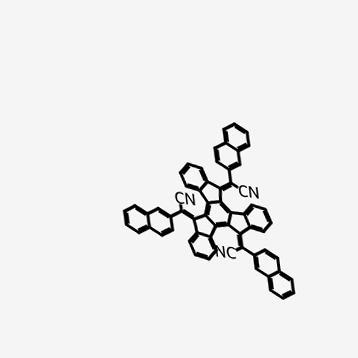 N#C/C(=C1/c2ccccc2-c2c1c1c(c3c2/C(=C(\C#N)c2ccc4ccccc4c2)c2ccccc2-3)/C(=C(\C#N)c2ccc3ccccc3c2)c2ccccc2-1)c1ccc2ccccc2c1